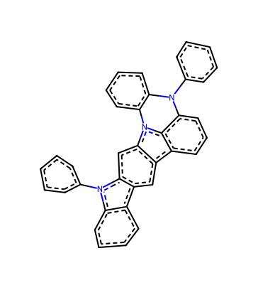 c1ccc(N2c3ccccc3-n3c4cc5c(cc4c4cccc2c43)c2ccccc2n5-c2ccccc2)cc1